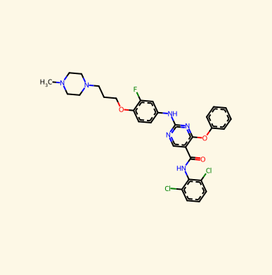 CN1CCN(CCCOc2ccc(Nc3ncc(C(=O)Nc4c(Cl)cccc4Cl)c(Oc4ccccc4)n3)cc2F)CC1